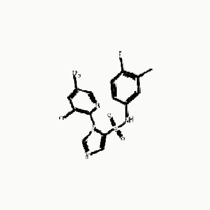 Cc1cc(NS(=O)(=O)c2cncn2-c2ncc(C(F)(F)F)cc2Cl)ccc1F